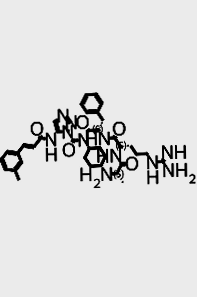 Cc1cccc(C=CC(=O)Nc2cnnn2C(=O)N(C(=O)[C@H](Cc2ccccc2)NC(=O)[C@H](CCCNC(=N)N)NC(=O)[C@H](C)N)C2CCCCC2)c1